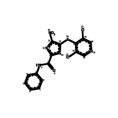 O=C(Nc1ccccc1)c1nc([N+](=O)[O-])c(Sc2c(Cl)cncc2Cl)s1